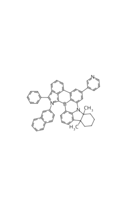 CC12CCCCC1(C)N1c3cc(-c4cccnc4)cc4c3B(c3cccc2c31)c1c2c-4cccc2c(-c2ccccc2)n1-c1ccc2ccccc2c1